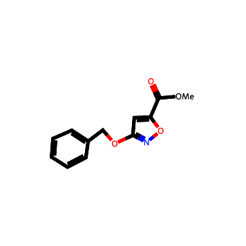 COC(=O)c1cc(OCc2ccccc2)no1